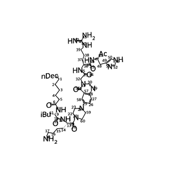 CCCCCCCCCCCCCCCC(=O)N[C@H](C(=O)N[C@@H](CCCCN)C(=O)N1CCN(c2ccc3ncn(CC(=O)N[C@@H](CCCNC(=N)N)C(=O)N[C@@H](Cc4c[nH]cn4)C(C)=O)c(=O)c3c2)CC1)[C@@H](C)CC